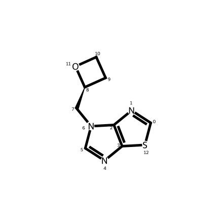 c1nc2c(ncn2C[C@@H]2CCO2)s1